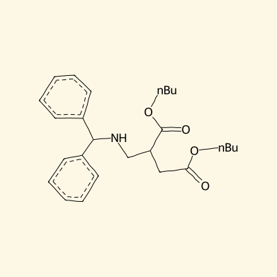 CCCCOC(=O)CC(CNC(c1ccccc1)c1ccccc1)C(=O)OCCCC